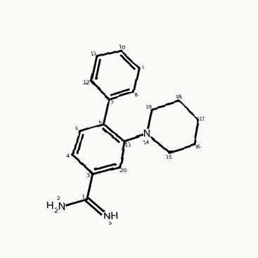 N=C(N)c1ccc(-c2ccccc2)c(N2CC[CH]CC2)c1